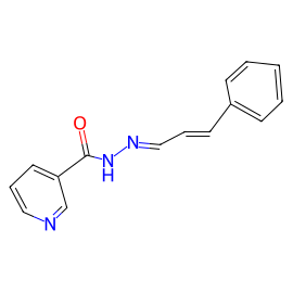 O=C(N/N=C/C=C/c1ccccc1)c1cccnc1